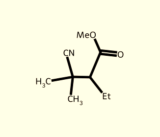 CCC(C(=O)OC)C(C)(C)C#N